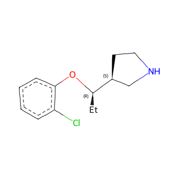 CC[C@@H](Oc1ccccc1Cl)[C@H]1CCNC1